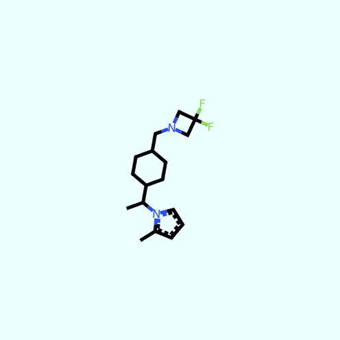 Cc1cccn1C(C)C1CCC(CN2CC(F)(F)C2)CC1